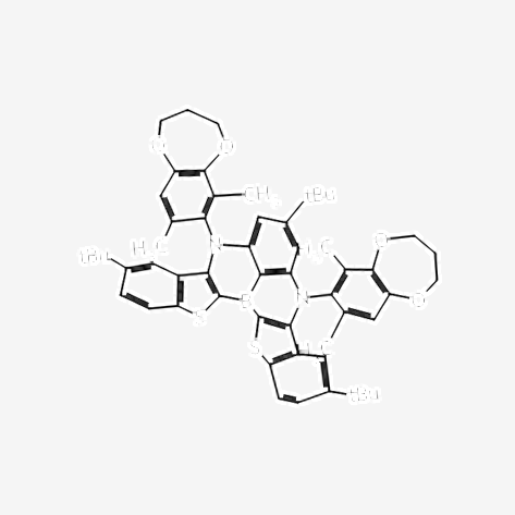 Cc1cc2c(c(C)c1N1c3cc(C(C)(C)C)cc4c3B(c3sc5ccc(C(C)(C)C)cc5c31)c1sc3ccc(C(C)(C)C)cc3c1N4c1c(C)cc3c(c1C)OCCCO3)OCCCO2